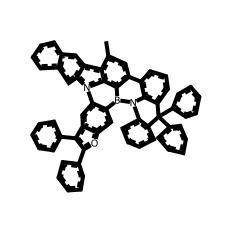 Cc1cc2c3c4c1c1cc5ccccc5cc1n4-c1cc4c(-c5ccccc5)c(-c5ccccc5)oc4cc1B3N1c3ccccc3C(c3ccccc3)(c3ccccc3)c3cccc-2c31